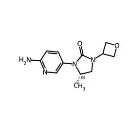 C[C@H]1CN(C2COC2)C(=O)N1c1ccc(N)nc1